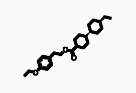 CCOc1ccc(CCOC(=O)C2CCC([C@H]3CC[C@H](CC)CC3)CC2)cc1